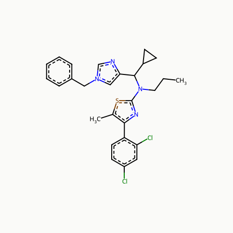 CCCN(c1nc(-c2ccc(Cl)cc2Cl)c(C)s1)C(c1cn(Cc2ccccc2)cn1)C1CC1